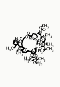 CCc1ccncc1-c1c2c3cc(ccc3n1CC)-c1cc(cc(O[Si](C(C)C)(C(C)C)C(C)C)c1)C[C@H](NC(=O)[C@H](C(C)C)N(C)C(=O)CN(C)C(=O)[C@H]1CN1C(=O)OC)C(=O)N1CCC[C@H](N1)C(=O)OCC(C)(C)C2